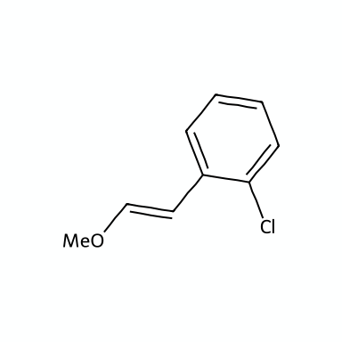 COC=Cc1ccccc1Cl